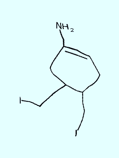 NC1=CCC(CI)C(CI)C1